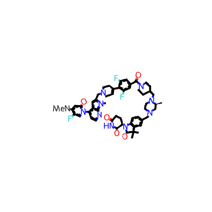 CNc1cc(=O)n(-c2ccnc3c2cc(CN2CC=C(c4c(F)cc(C(=O)N5CCC(CN6CCN(Cc7ccc8c(c7)C(C)(C)C(=O)N8[C@H]7CCC(=O)NC7=O)C[C@@H]6C)CC5)cc4F)CC2)n3C)cc1F